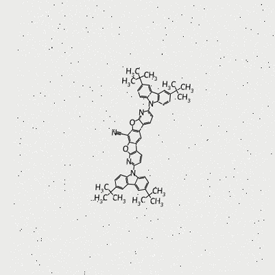 CC(C)(C)c1ccc2c(c1)c1cc(C(C)(C)C)ccc1n2-c1ccc2c(n1)oc1c(C#N)c3oc4nc(-n5c6ccc(C(C)(C)C)cc6c6cc(C(C)(C)C)ccc65)ccc4c3cc12